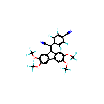 N#CC1=C(F)C(F)C(C(C#N)=C2c3cc(OC(F)(F)F)c(OC(F)(F)F)cc3-c3cc(OC(F)(F)F)c(OC(F)(F)F)cc32)C(F)=C1F